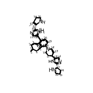 CC1CC2NC(C1)c1c(N3CCC(c4cnc([C@@H]5CCCN5)[nH]4)CC3)ccc(-c3cnc([C@@H]4CCCN4)[nH]3)c12